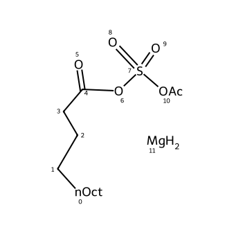 CCCCCCCCCCCC(=O)OS(=O)(=O)OC(C)=O.[MgH2]